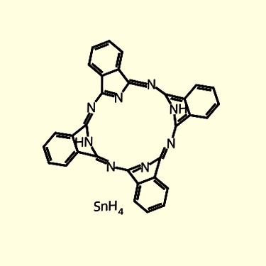 [SnH4].c1ccc2c(c1)-c1nc-2nc2[nH]c(nc3nc(nc4[nH]c(n1)c1ccccc41)-c1ccccc1-3)c1ccccc21